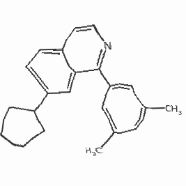 Cc1cc(C)cc(-c2nccc3ccc(C4CCCC4)cc23)c1